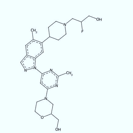 Cc1nc(N2CCOC(CO)C2)cc(-n2ncc3cc(C)c(C4CCN(CC(F)CO)CC4)cc32)n1